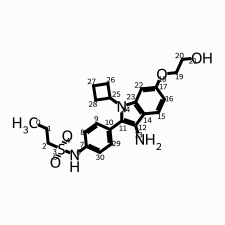 CCCS(=O)(=O)Nc1ccc(-c2c(N)c3ccc(OCCO)cc3n2C2CCC2)cc1